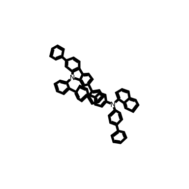 c1ccc(-c2ccc(N(c3ccc(-c4ccc(-c5ccccc5-n5c6cc(-c7ccccc7)ccc6c6ccc(-c7ccccc7)cc65)cc4)cc3)c3cccc4ccccc34)cc2)cc1